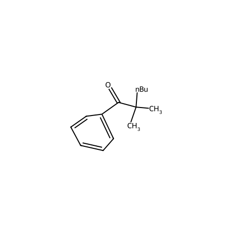 CCCCC(C)(C)C(=O)c1ccccc1